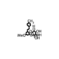 COc1cc(/C=C/c2ccc(C)cc2)c(OC2O[C@H](CO)[C@@H](O)[C@H](O)[C@H]2O)c(OC)c1